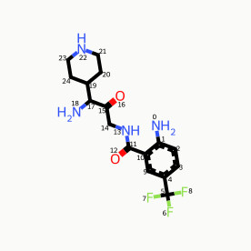 Nc1ccc(C(F)(F)F)cc1C(=O)NCC(=O)C(N)C1CCNCC1